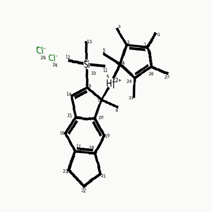 CC1=C(C)[C](C)([Hf+2][C]2(C)C([Si](C)(C)C)=Cc3cc4c(cc32)CCC4)C(C)=C1C.[Cl-].[Cl-]